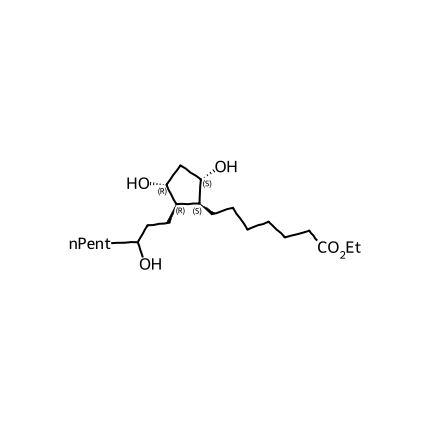 CCCCCC(O)CC[C@@H]1[C@H](CCCCCCC(=O)OCC)[C@@H](O)C[C@H]1O